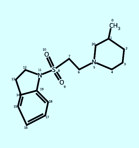 CC1CCCN(CCS(=O)(=O)N2CCc3ccccc32)C1